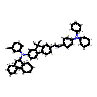 Cc1cccc(N(c2ccc3c(c2)C(C)(C)c2cc(/C=C/c4ccc(N(c5ccccc5)c5ccccc5)cc4)ccc2-3)c2cc3ccccc3c3ccccc23)c1